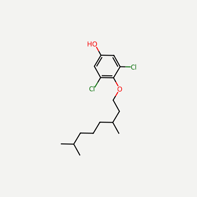 CC(C)CCCC(C)CCOc1c(Cl)cc(O)cc1Cl